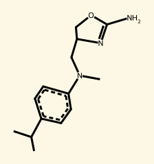 CC(C)c1ccc(N(C)CC2COC(N)=N2)cc1